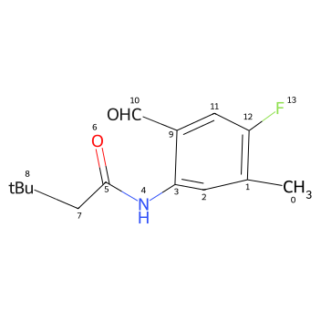 Cc1cc(NC(=O)CC(C)(C)C)c(C=O)cc1F